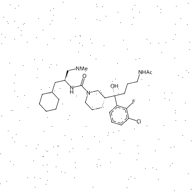 CNC[C@H](CC1CCCCC1)NC(=O)N1CCC[C@@H]([C@@](O)(CCCNC(C)=O)c2cccc(Cl)c2F)C1